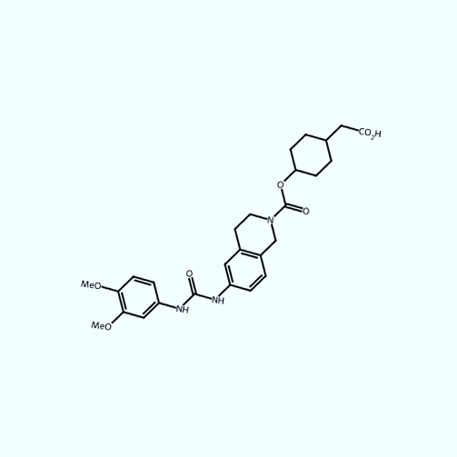 COc1ccc(NC(=O)Nc2ccc3c(c2)CCN(C(=O)OC2CCC(CC(=O)O)CC2)C3)cc1OC